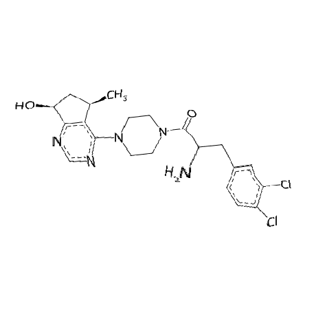 C[C@@H]1C[C@H](O)c2ncnc(N3CCN(C(=O)C(N)Cc4ccc(Cl)c(Cl)c4)CC3)c21